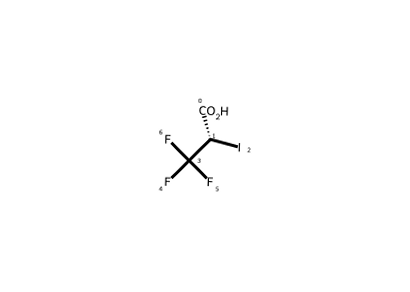 O=C(O)[C@H](I)C(F)(F)F